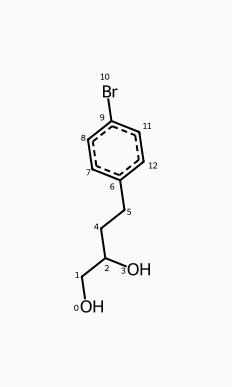 OCC(O)CCc1ccc(Br)cc1